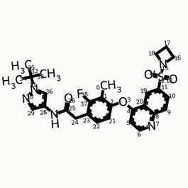 Cc1c(Oc2ccnc3ccc(S(=O)(=O)N4CCC4)cc23)ccc(CC(=O)Nc2cnn(C(C)(C)C)c2)c1F